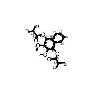 COc1c(OC)c(OC(=O)C(C)C)c2ccccc2c1OC(=O)C(C)C